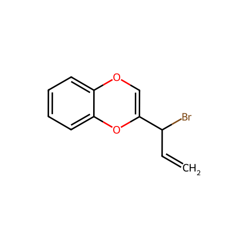 C=CC(Br)C1=COc2ccccc2O1